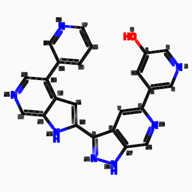 Oc1cncc(-c2cc3c(-c4cc5c(-c6cccnc6)cncc5[nH]4)n[nH]c3cn2)c1